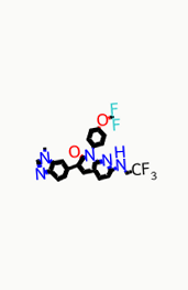 Cn1cnc2ccc(-c3cc4ccc(NCC(F)(F)F)nc4n(-c4ccc(OC(F)F)cc4)c3=O)cc21